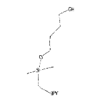 CC(C)C[Si](C)(C)OCCCCO